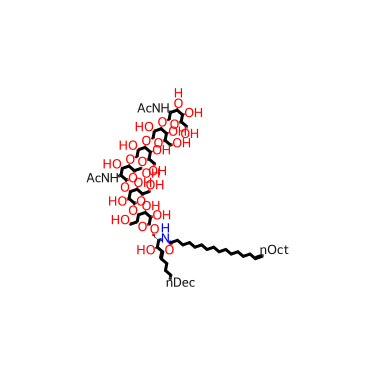 CCCCCCCC/C=C\CCCCCCCCCCCCCC(=O)N[C@@H](CO[C@@H]1OC(CO)[C@@H](O[C@@H]2OC(CO)[C@H](O)[C@H](O[C@@H]3OC(CO)[C@@H](O[C@@H]4OC(CO)[C@H](O)[C@H](O[C@H]5OC(CO)[C@H](O)[C@H](O[C@@H]6OC(CO)[C@H](O)[C@H](O)C6NC(C)=O)C5O)C4O)[C@H](O)C3NC(C)=O)C2O)[C@H](O)C1O)[C@H](O)/C=C/CCCCCCCCCCCCC